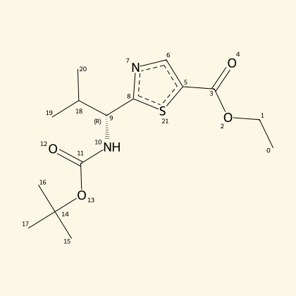 CCOC(=O)c1cnc([C@H](NC(=O)OC(C)(C)C)C(C)C)s1